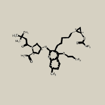 CCCOc1c(CCCCC[C@@H]2C[C@H]2OC(N)=O)c(O[C@@H]2C[C@@H](C(N)=O)N(C(=O)CC(C)(C)C)C2)nc2cc(C)ccc12